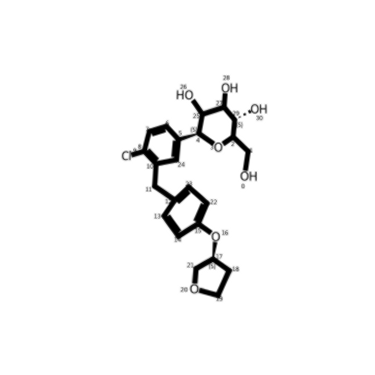 OCC1O[C@@H](c2ccc(Cl)c(Cc3ccc(O[C@H]4CCOC4)cc3)c2)C(O)C(O)[C@@H]1O